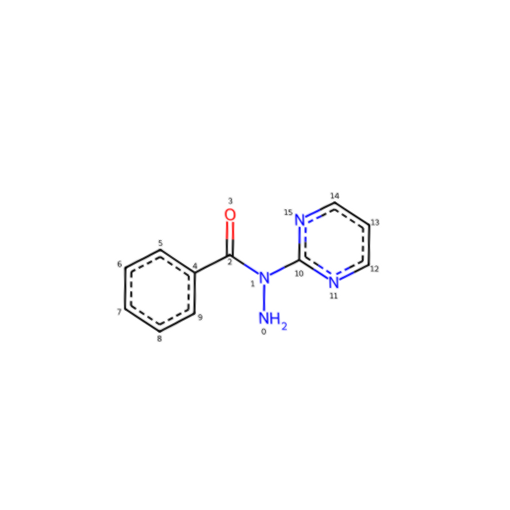 NN(C(=O)c1ccccc1)c1ncccn1